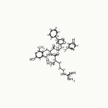 Cc1cc(O)cc(C)c1C[C@H](NC(=O)[C@H](N)CCCNC(=N)N)C(=O)N[C@@H](Cc1c[nH]cn1)c1nc(-c2ccccc2)no1